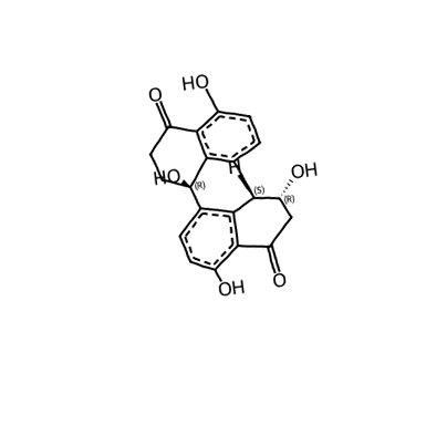 O=C1C[C@@H](O)[C@H]2c3ccc(O)c4c3[C@@](O)(CCC4=O)c3ccc(O)c1c32